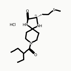 CCC(CC)C(=O)N1CCC2(CC1)NC(=O)[C@H](CCSC)N2.Cl